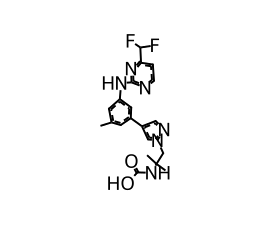 Cc1cc(Nc2nccc(C(F)F)n2)cc(-c2cnn(CC(C)(C)NC(=O)O)c2)c1